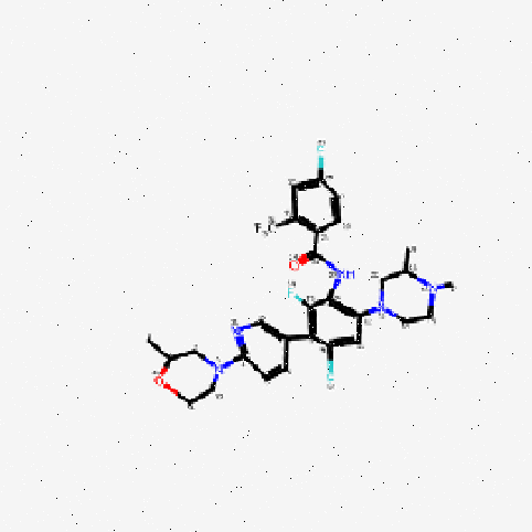 CC1CN(c2ccc(-c3c(F)cc(N4CCN(C)C(C)C4)c(NC(=O)c4ccc(F)cc4C(F)(F)F)c3F)cn2)CCO1